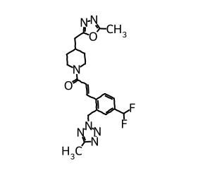 Cc1nnn(Cc2cc(C(F)F)ccc2C=CC(=O)N2CCC(Cc3nnc(C)o3)CC2)n1